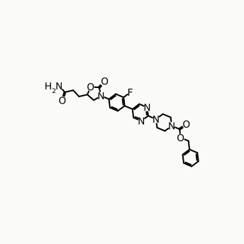 NC(=O)CCC1CN(c2ccc(-c3cnc(N4CCN(C(=O)OCc5ccccc5)CC4)nc3)c(F)c2)C(=O)O1